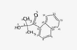 CC(C)(O)C(=O)c1cccc2ccccc12